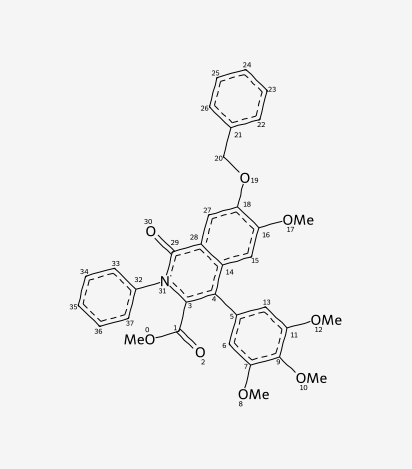 COC(=O)c1c(-c2cc(OC)c(OC)c(OC)c2)c2cc(OC)c(OCc3ccccc3)cc2c(=O)n1-c1ccccc1